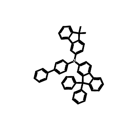 CC1(C)c2ccccc2-c2cc(N(c3ccc(-c4ccccc4)cc3)c3ccc4c(c3)C(c3ccccc3)(c3ccccc3)c3ccccc3-4)ccc21